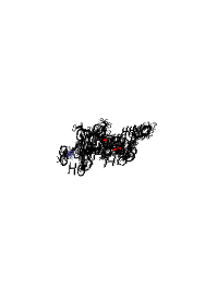 CCCC[C@H](NC(=O)[C@H](CC/C=C/C(=O)OC)NC(=O)[C@H](CC(=O)O)NC(C)=O)C(=O)N[C@@H](CCCC)C(=O)N[C@@H](CC(C)C)C(=O)N1CCC[C@H]1C(=O)N[C@@H](Cc1c[nH]c2ccccc12)C(=O)N1CCC[C@H]1C(=O)O